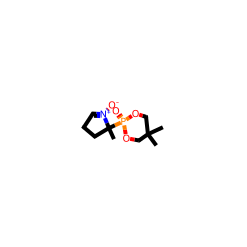 CC1(C)COP(=O)(C2(C)CCC=[N+]2[O-])OC1